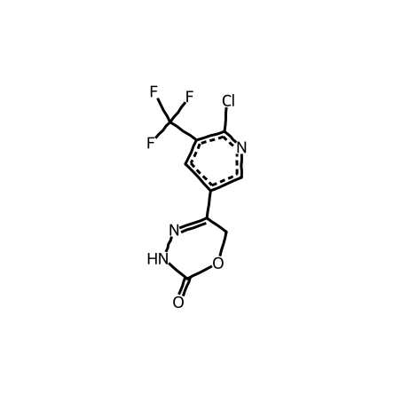 O=C1NN=C(c2cnc(Cl)c(C(F)(F)F)c2)CO1